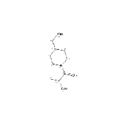 CC(=O)O[C@H](C)C(=O)N1CCN(CC(C)(C)C)CC1